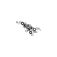 Cc1ccc(S(=O)(=O)NC(=O)c2cn3c(Cl)c(-c4ccc(Cl)cc4)c(C(=O)OC4C(C(C)(C)C)CC(C)CC4C(C)(C)C)c3nc2N)cc1